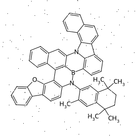 Cc1cc2c(cc1N1B3c4c(cc5ccccc5c4-c4c1ccc1c4oc4ccccc41)-n1c4c3cccc4c3ccc4ccccc4c31)C(C)(C)CCC2(C)C